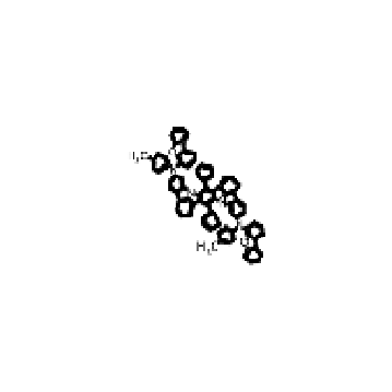 Cc1ccc(N(c2ccc3c4cccc5c6c(-c7ccccc7)c7c(c(-c8ccccc8)c6n(c3c2)c45)c2cccc3c4ccc(N(c5ccc(C)cc5)c5cccc6c5oc5ccccc56)cc4n7c32)c2cccc3c2oc2ccccc23)cc1